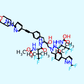 COC(=O)N[C@H](C(=O)N[C@@H](Cc1ccc(C#Cc2ccc(N3CC4COCC(C3)N4C)nc2)cc1)[C@@H](O)CN(Cc1c(F)cc(-c2ccn(C(F)F)n2)cc1F)NC(=O)[C@@H](NC(=O)O)C(C)(C)C(F)(F)F)C(C)(C)C(F)(F)F